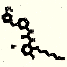 CCCCCCCCCCCCCCOc1c(F)cccc1NC(=O)Nc1cccc(C[n+]2csc(C)c2)c1.[Br-]